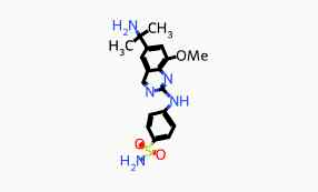 COc1cc(C(C)(C)N)cc2cnc(Nc3ccc(S(N)(=O)=O)cc3)nc12